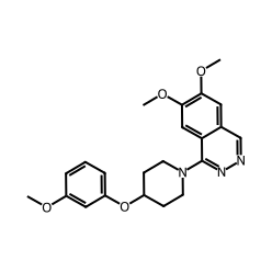 COc1cccc(OC2CCN(c3nncc4cc(OC)c(OC)cc34)CC2)c1